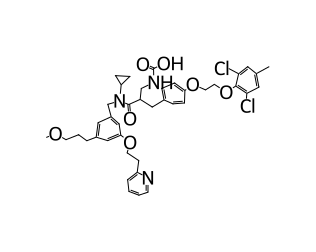 COCCCc1cc(CN(C(=O)C(CNC(=O)O)Cc2ccc(OCCOc3c(Cl)cc(C)cc3Cl)cc2)C2CC2)cc(OCCc2ccccn2)c1